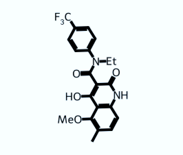 CCN(C(=O)c1c(O)c2c(OC)c(C)ccc2[nH]c1=O)c1ccc(C(F)(F)F)cc1